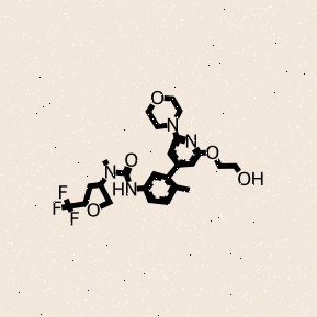 Cc1ccc(NC(=O)N(C)C2COC(C(F)(F)F)C2)cc1-c1cc(OCCO)nc(N2CCOCC2)c1